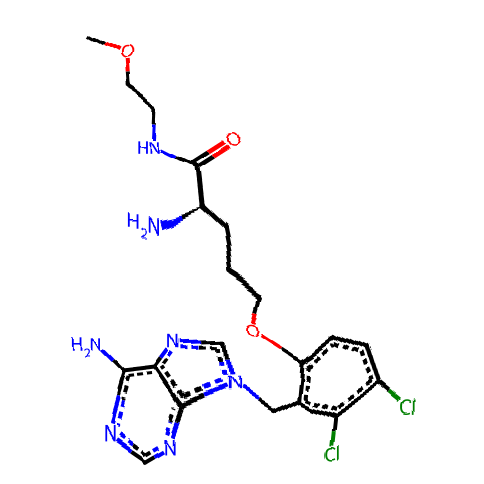 COCCNC(=O)[C@H](N)CCCOc1ccc(Cl)c(Cl)c1Cn1cnc2c(N)ncnc21